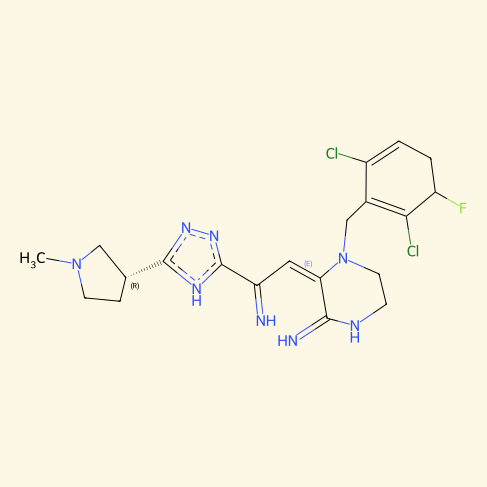 CN1CC[C@@H](c2nnc(C(=N)/C=C3\C(=N)NCCN3CC3=C(Cl)C(F)CC=C3Cl)[nH]2)C1